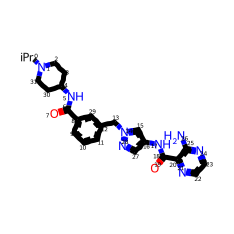 CC(C)N1CCC(NC(=O)c2cccc(Cn3cc(NC(=O)c4nccnc4N)cn3)c2)CC1